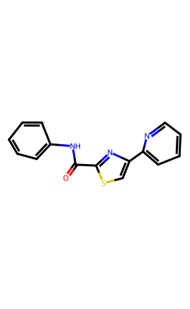 O=C(Nc1[c]cccc1)c1nc(-c2ccccn2)cs1